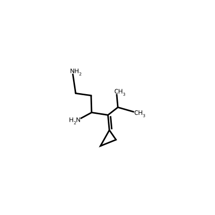 CC(C)C(=C1CC1)C(N)CCN